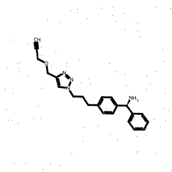 C#CCOCc1cn(CCCc2ccc([C@@H](N)c3ccccc3)cc2)nn1